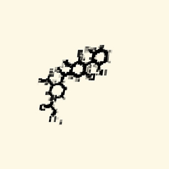 C=CC(=O)N1CCC(c2snc3c(F)c(-c4c(O)cccc4F)c(Cl)cc23)C(C(F)F)C1